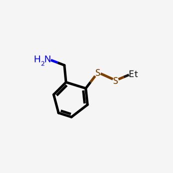 CCSSc1ccccc1CN